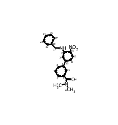 CN(C)C(=O)c1cccc(-c2ccc([N+](=O)[O-])c(NCc3ccccc3)c2)c1